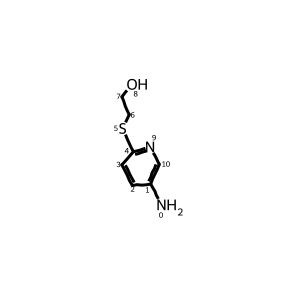 Nc1ccc(SCCO)nc1